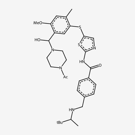 COc1cc(C)c(Sc2cnc(NC(=O)c3ccc(CNC(C)C(C)(C)C)cc3)s2)cc1C(O)N1CCN(C(C)=O)CC1